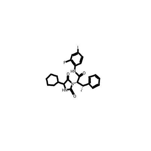 C[C@@H](c1ccccc1)[C@@H](C(=O)Nc1ccc(I)cc1F)N1C(=O)NC(C2CCCCC2)C1=O